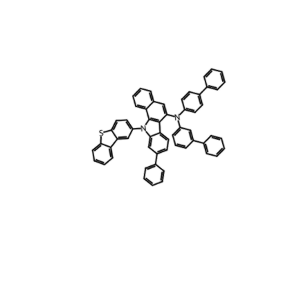 c1ccc(-c2ccc(N(c3cccc(-c4ccccc4)c3)c3cc4ccccc4c4c3c3ccc(-c5ccccc5)cc3n4-c3ccc4sc5ccccc5c4c3)cc2)cc1